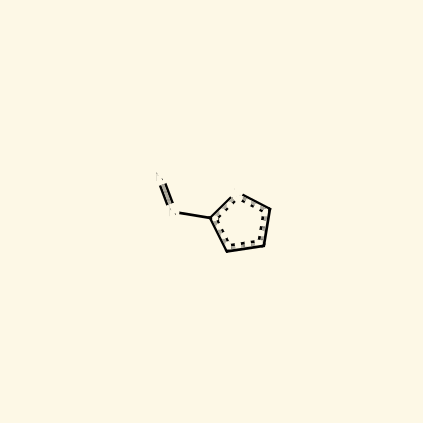 [N]=Nc1cccs1